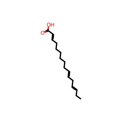 CCC=CCC=CCCCCCCC=CC(=O)O